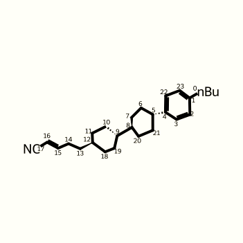 CCCCc1ccc([C@H]2CC[C@H]([C@H]3CC[C@H](CCC=CC#N)CC3)CC2)cc1